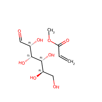 C=CC(=O)OC.O=C[C@H](O)[C@@H](O)[C@H](O)[C@H](O)CO